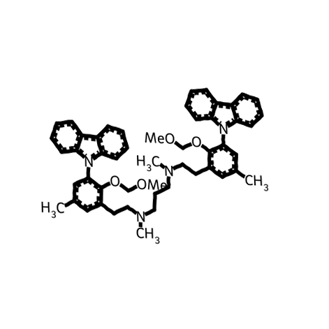 COCOc1c(CCN(C)CCCN(C)CCc2cc(C)cc(-n3c4ccccc4c4ccccc43)c2OCOC)cc(C)cc1-n1c2ccccc2c2ccccc21